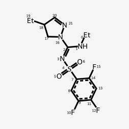 CCN/C(=N\S(=O)(=O)c1cc(F)c(F)cc1F)N1CC(CC)C=N1